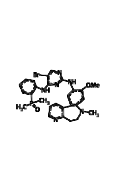 COc1cc2c(cc1Nc1ncc(Br)c(Nc3ccccc3P(C)(C)=O)n1)-c1cccnc1CCN2C